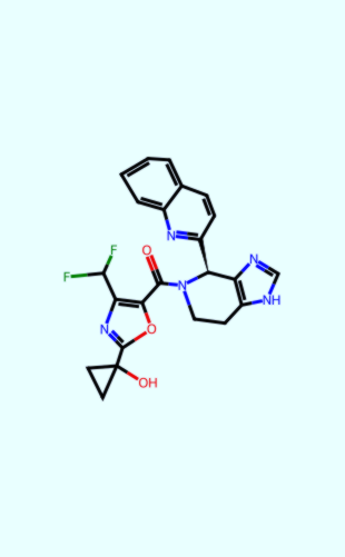 O=C(c1oc(C2(O)CC2)nc1C(F)F)N1CCc2[nH]cnc2[C@@H]1c1ccc2ccccc2n1